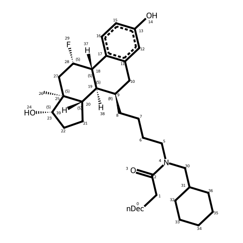 CCCCCCCCCCCC(=O)N(CCCC[C@@H]1Cc2cc(O)ccc2[C@@H]2[C@@H]1[C@@H]1CC[C@H](O)[C@@]1(C)C[C@@H]2F)CC1CCCCC1